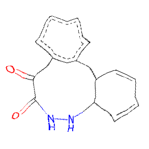 O=C1NNC2C=CC=CC2c2ccccc2C1=O